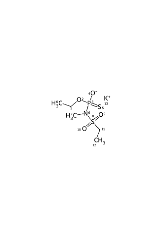 CCOP([O-])(=S)N(C)S(=O)(=O)CC.[K+]